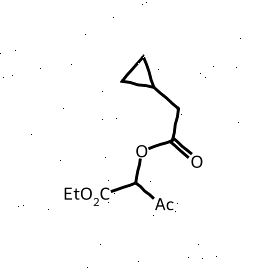 CCOC(=O)C(OC(=O)CC1CC1)C(C)=O